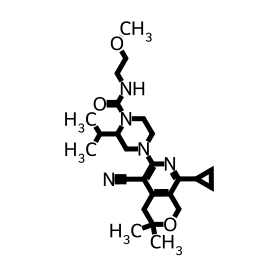 COCCNC(=O)N1CCN(c2nc(C3CC3)c3c(c2C#N)CC(C)(C)OC3)CC1C(C)C